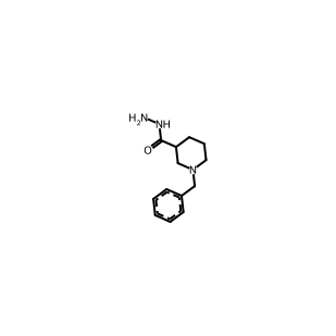 NNC(=O)C1CCCN(Cc2ccccc2)C1